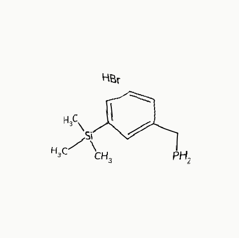 Br.C[Si](C)(C)c1cccc(CP)c1